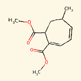 COC(=O)C1=CC=CC(C)CC1C(=O)OC